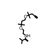 C#CCC(C)(C)OCCC(C)(C)OCCNC(=C)C(C)C